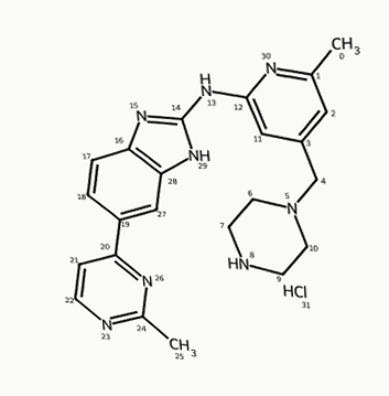 Cc1cc(CN2CCNCC2)cc(Nc2nc3ccc(-c4ccnc(C)n4)cc3[nH]2)n1.Cl